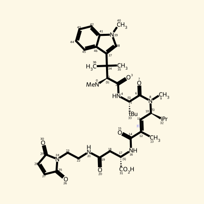 CN[C@H](C(=O)N[C@H](C(=O)N(C)[C@H](/C=C(\C)C(=O)N[C@@H](CC(=O)NCCN1C(=O)C=CC1=O)C(=O)O)C(C)C)C(C)(C)C)C(C)(C)c1cn(C)c2ccccc12